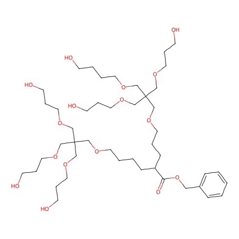 O=C(OCc1ccccc1)C(CCCCOCC(COCCCO)(COCCCO)COCCCO)CCCOCC(COCCCO)(COCCCO)COCCCCO